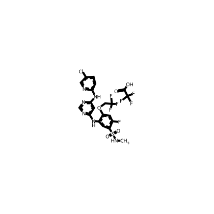 CNS(=O)(=O)c1cc(Nc2cc(Nc3ccc(Cl)cn3)ncn2)c(OCC(F)(F)F)cc1F.O=C(O)C(F)(F)F